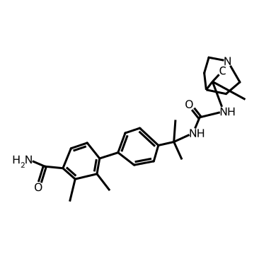 Cc1c(C(N)=O)ccc(-c2ccc(C(C)(C)NC(=O)NC3(C)CN4CCC3CC4)cc2)c1C